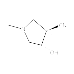 CN1C[C@@H](O)[C@H](C#N)C1